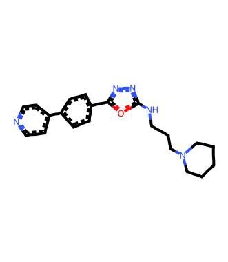 c1cc(-c2ccc(-c3nnc(NCCCN4CCCCC4)o3)cc2)ccn1